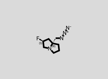 [N-]=[N+]=NC[C@]12CCCN1C[C@@H](F)C2